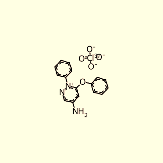 Nc1cn[n+](-c2ccccc2)c(Oc2ccccc2)c1.[O-][Cl+3]([O-])([O-])[O-]